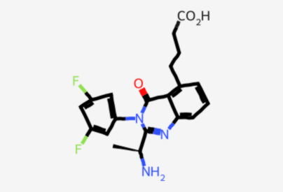 C[C@H](N)c1nc2cccc(CCCC(=O)O)c2c(=O)n1-c1cc(F)cc(F)c1